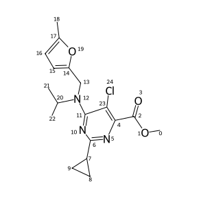 COC(=O)c1nc(C2CC2)nc(N(Cc2ccc(C)o2)C(C)C)c1Cl